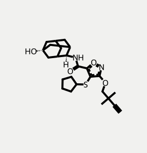 C#CC(C)(C)COc1noc(C(=O)N[C@H]2C3CC4CC2C[C@](O)(C4)C3)c1SC1CCCC1